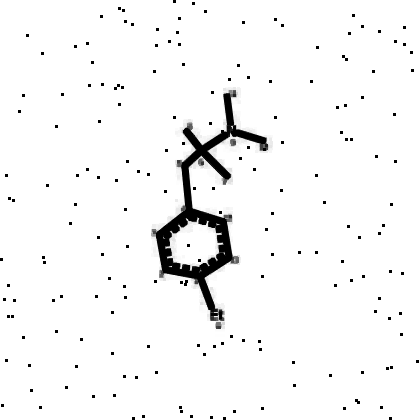 CCc1ccc(CC(C)(C)N(C)C)cc1